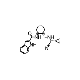 N#CC(NC[C@H]1CCCC[C@@H]1NC(=O)c1cc2ccccc2[nH]1)C1CC1